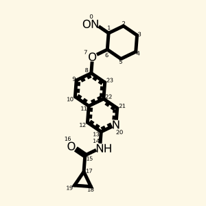 O=NC1CCCCC1Oc1ccc2cc(NC(=O)C3CC3)ncc2c1